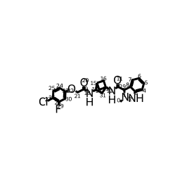 CN1Nc2ccccc2C1C(=O)NC12CC(C1)C(NC(=O)COc1ccc(Cl)c(F)c1)C2